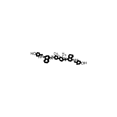 Cc1cc(-c2ccc(N=Nc3ccc(NCc4ccc(O)cc4)c4ccccc34)c(C)c2)ccc1N=Nc1ccc(NCc2ccc(O)cc2)c2ccccc12